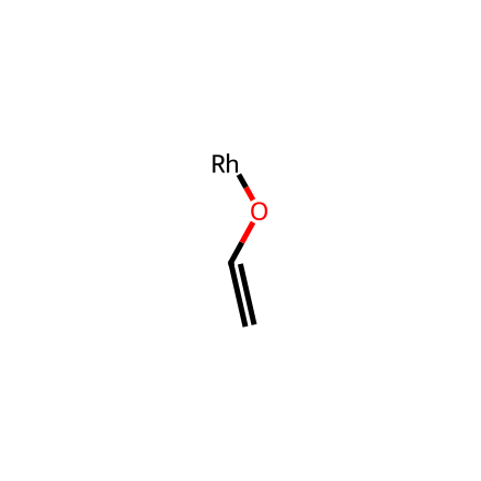 C=C[O][Rh]